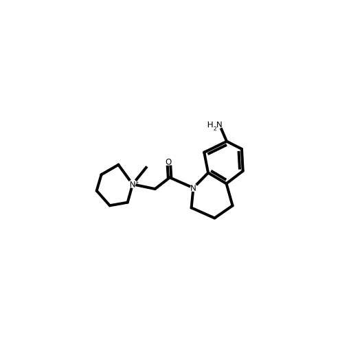 C[N+]1(CC(=O)N2CCCc3ccc(N)cc32)CCCCC1